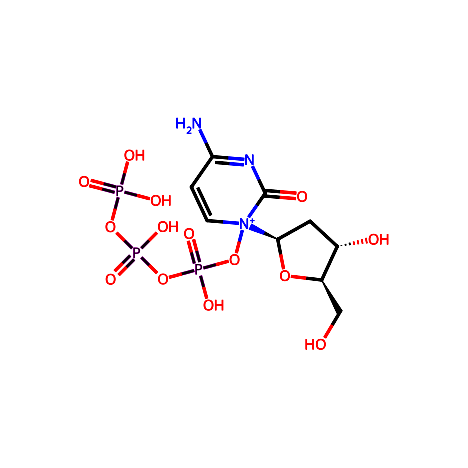 NC1=NC(=O)[N+](OP(=O)(O)OP(=O)(O)OP(=O)(O)O)([C@H]2C[C@H](O)[C@@H](CO)O2)C=C1